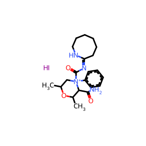 CC1C[N+](C(=O)N=C2CCCCCCN2)(c2ccccc2)C(C(N)=O)C(C)O1.I